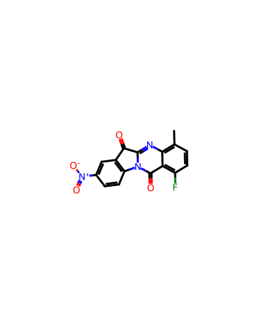 Cc1ccc(F)c2c(=O)n3c(nc12)C(=O)c1cc([N+](=O)[O-])ccc1-3